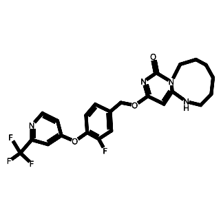 O=c1nc(OCc2ccc(Oc3ccnc(C(F)(F)F)c3)c(F)c2)cc2n1CCCCCCN2